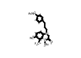 CC(=O)Nc1ccc(CCCN(CC(=O)OC(C)(C)C)c2ccc(C#N)c(C(F)(F)F)c2)cc1